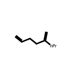 C=CCCC(=C)CCC